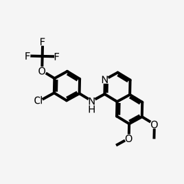 COc1cc2ccnc(Nc3ccc(OC(F)(F)F)c(Cl)c3)c2cc1OC